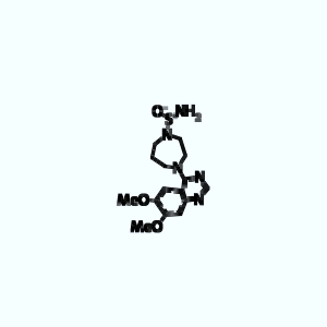 COc1cc2ncnc(N3CCCN([S+](N)[O-])CC3)c2cc1OC